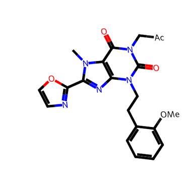 COc1ccccc1CCn1c(=O)n(CC(C)=O)c(=O)c2c1nc(-c1ncco1)n2C